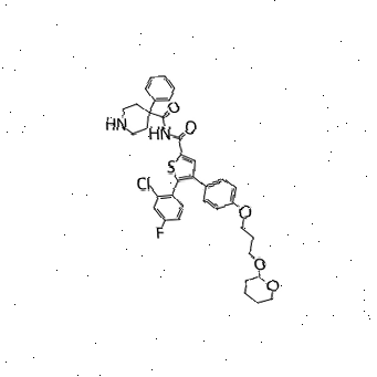 O=C(NC(=O)C1(c2ccccc2)CCNCC1)c1cc(-c2ccc(OCCCOC3CCCCO3)cc2)c(-c2ccc(F)cc2Cl)s1